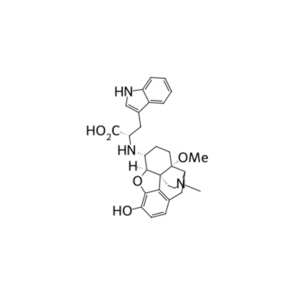 CO[C@@]12CC[C@@H](N[C@@H](Cc3c[nH]c4ccccc34)C(=O)O)[C@@H]3Oc4c(O)ccc5c4[C@@]31CCN(C)C2C5